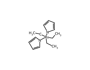 C[CH2][Ru]([CH2]C)([CH2]C)([n]1cccc1)[n]1cccc1